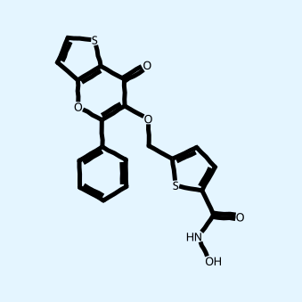 O=C(NO)c1ccc(COc2c(-c3ccccc3)oc3ccsc3c2=O)s1